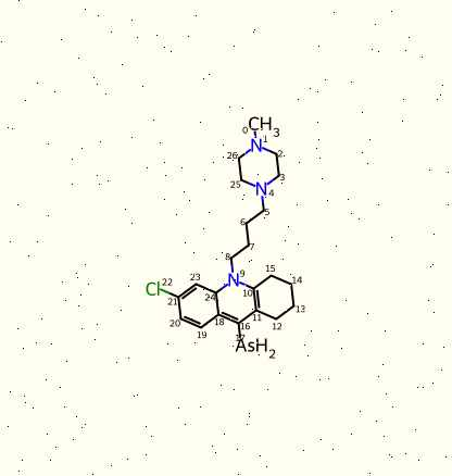 CN1CCN(CCCCN2C3=C(CCCC3)C([AsH2])=C3C=CC(Cl)=CC32)CC1